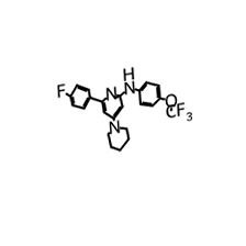 Fc1ccc(-c2cc(N3CCCCC3)cc(Nc3ccc(OC(F)(F)F)cc3)n2)cc1